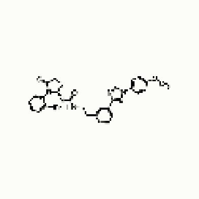 CC(C)c1ccccc1N1C(=O)CS/C1=N\C(=O)NCCc1cccc(-c2ncn(-c3ccc(OC(F)(F)F)cc3)n2)c1